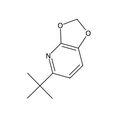 CC(C)(C)c1ccc2c(n1)OCO2